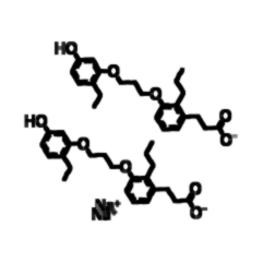 CCCc1c(CCC(=O)[O-])cccc1OCCCOc1cc(O)ccc1CC.CCCc1c(CCC(=O)[O-])cccc1OCCCOc1cc(O)ccc1CC.[Na+].[Na+]